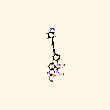 CC(C)(C)OC(=O)NC1=C[C@@](C(=O)NO)(N(C=O)c2ccc(C#CC#Cc3ccc(N)cc3)cc2)C=CC1